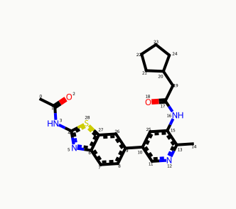 CC(=O)Nc1nc2ccc(-c3cnc(C)c(NC(=O)CC4CCCC4)c3)cc2s1